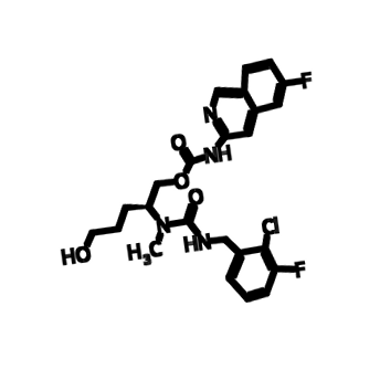 CN(C(=O)NCc1cccc(F)c1Cl)[C@@H](CCCO)COC(=O)Nc1cc2cc(F)ccc2cn1